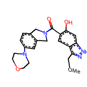 COCc1n[nH]c2cc(O)c(C(=O)N3Cc4ccc(N5CCOCC5)cc4C3)cc12